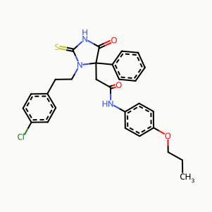 CCCOc1ccc(NC(=O)CC2(c3ccccc3)C(=O)NC(=S)N2CCc2ccc(Cl)cc2)cc1